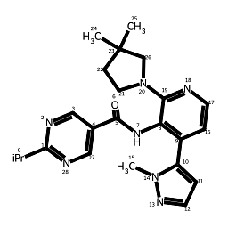 CC(C)c1ncc(C(=O)Nc2c(-c3ccnn3C)ccnc2N2CCC(C)(C)C2)cn1